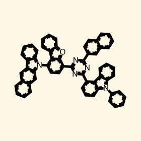 c1ccc(-n2c3ccccc3c3c(-c4nc(-c5ccc6ccccc6c5)nc(-c5ccc(-n6c7ccccc7c7cc8ccccc8cc76)c6c5oc5ccccc56)n4)cccc32)cc1